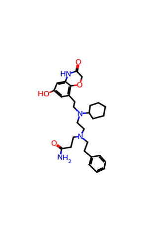 NC(=O)CCN(CCc1ccccc1)CCN(CCc1cc(O)cc2c1OCC(=O)N2)C1CCCCC1